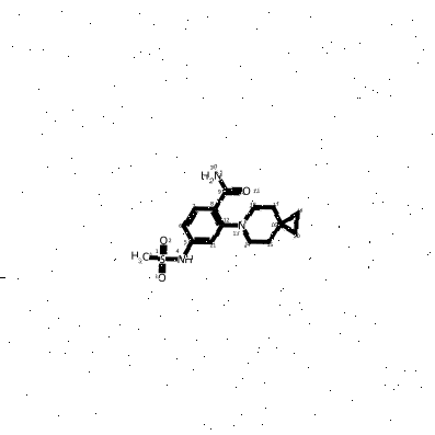 CS(=O)(=O)Nc1ccc(C(N)=O)c(N2CCC3(CC2)CC3)c1